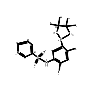 Cc1cc(F)c(NS(=O)(=O)c2cccnc2)cc1B1OC(C)(C)C(C)(C)O1